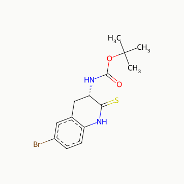 CC(C)(C)OC(=O)N[C@H]1Cc2cc(Br)ccc2NC1=S